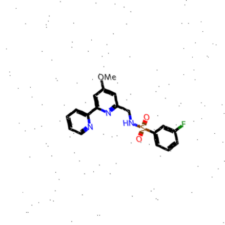 COc1cc(CNS(=O)(=O)c2cccc(F)c2)nc(-c2ccccn2)c1